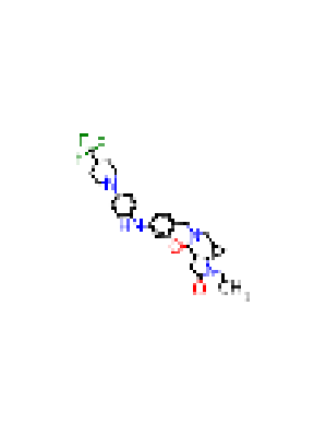 CCN1CC(C(=O)N(Cc2ccc(Nc3ccc(N4CCC(C(F)(F)F)CC4)cc3)cc2)CC2CC2)CC1=O